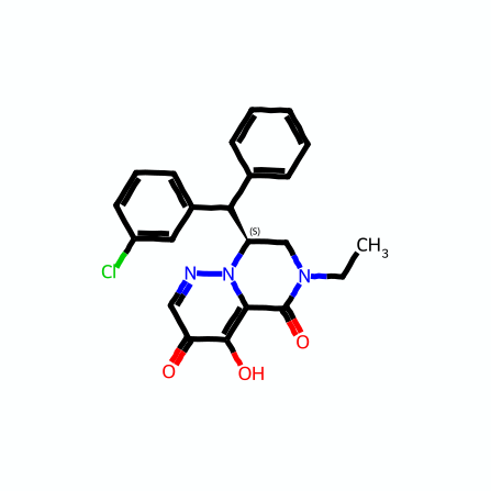 CCN1C[C@H](C(c2ccccc2)c2cccc(Cl)c2)n2ncc(=O)c(O)c2C1=O